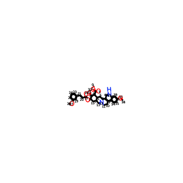 COC(=O)C1C2CC3C4=C(CCN3CC2CC(OC(=O)/C=C/c2cccc(OC)c2)C1OC)c1ccc(OC)cc1NC4